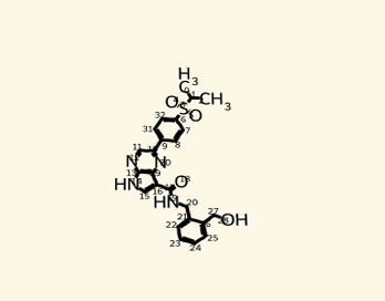 CC(C)S(=O)(=O)c1ccc(-c2cnc3[nH]cc(C(=O)NCc4ccccc4CO)c3n2)cc1